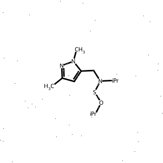 Cc1cc(CN(SOC(C)C)C(C)C)n(C)n1